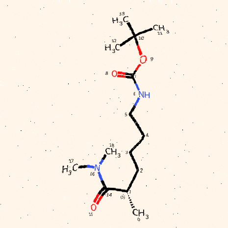 C[C@@H](CCCCNC(=O)OC(C)(C)C)C(=O)N(C)C